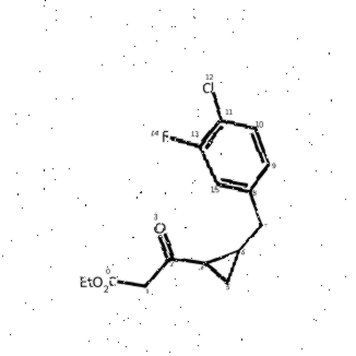 CCOC(=O)CC(=O)C1CC1Cc1ccc(Cl)c(F)c1